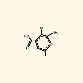 Cc1ccc(Br)c(N)n1.O=CO